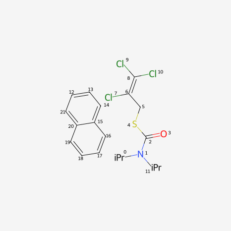 CC(C)N(C(=O)SCC(Cl)=C(Cl)Cl)C(C)C.c1ccc2ccccc2c1